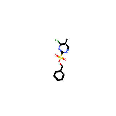 Cc1cnc(S(=O)(=O)OCc2ccccc2)nc1Cl